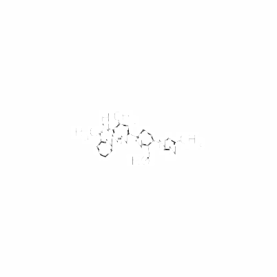 Cc1cn(-c2ccc(-c3cc(C)c(N[C@@H](C)c4ccccn4)nn3)nc2CO)cn1